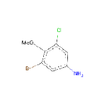 COc1c(Cl)cc(N)cc1Br